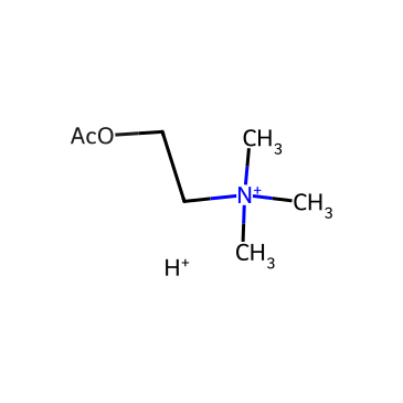 CC(=O)OCC[N+](C)(C)C.[H+]